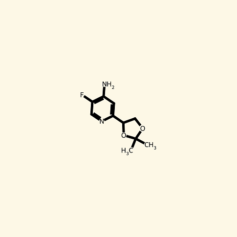 CC1(C)OCC(c2cc(N)c(F)cn2)O1